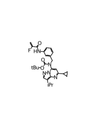 C=C(F)C(=O)Nc1cccc(CN(C(=O)OC(C)(C)C)c2cc(C3CC3)nc3c(C(C)C)cnn23)c1